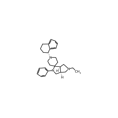 CCN1C[C@H]2CN(c3ccccc3)C3(CCN([C@@H]4CCCc5ccccc54)CC3)[C@H]2C1